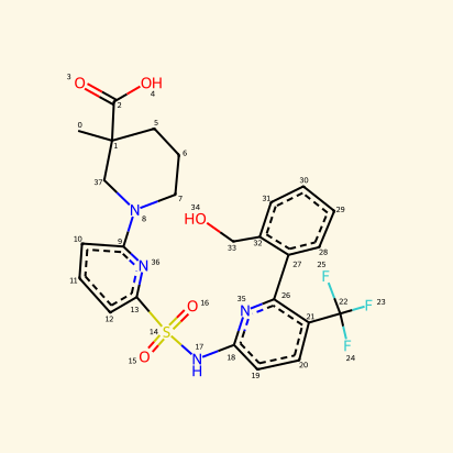 CC1(C(=O)O)CCCN(c2cccc(S(=O)(=O)Nc3ccc(C(F)(F)F)c(-c4ccccc4CO)n3)n2)C1